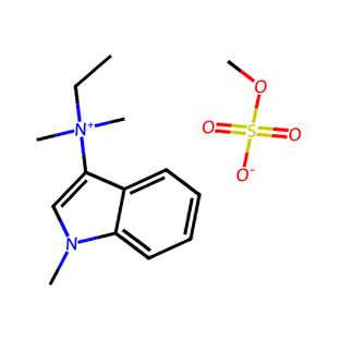 CC[N+](C)(C)c1cn(C)c2ccccc12.COS(=O)(=O)[O-]